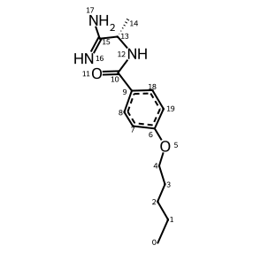 CCCCCOc1ccc(C(=O)N[C@@H](C)C(=N)N)cc1